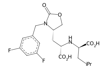 CC(C)C[C@@H](N[C@@H](C[C@H]1COC(=O)N1Cc1cc(F)cc(F)c1)C(=O)O)C(=O)O